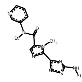 CCNc1nc(-c2ncc(C(=O)N(CC)c3cccnc3)n2C)ns1